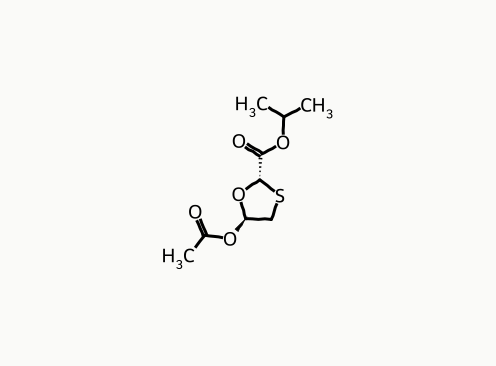 CC(=O)O[C@@H]1CS[C@@H](C(=O)OC(C)C)O1